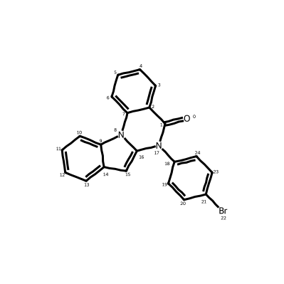 O=c1c2ccccc2n2c3ccccc3cc2n1-c1ccc(Br)cc1